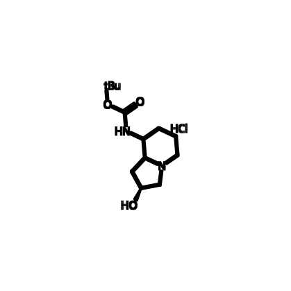 CC(C)(C)OC(=O)NC1CCCN2C[C@@H](O)CC12.Cl